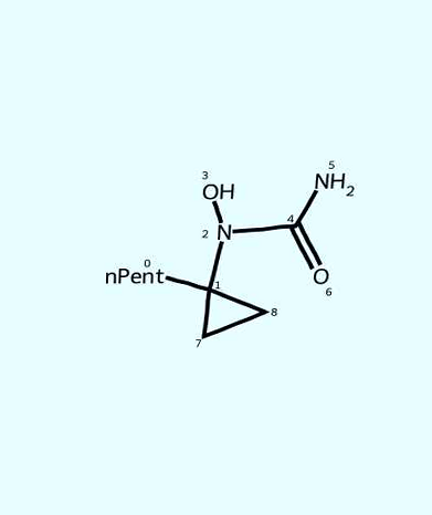 CCCCCC1(N(O)C(N)=O)CC1